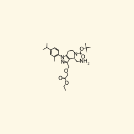 CCOC(=O)COCc1nn(-c2ccc(C(C)C)cc2C)c2c1[C@H](CN)N(C(=O)OC(C)(C)C)CC2